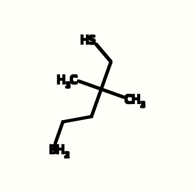 BCCC(C)(C)CS